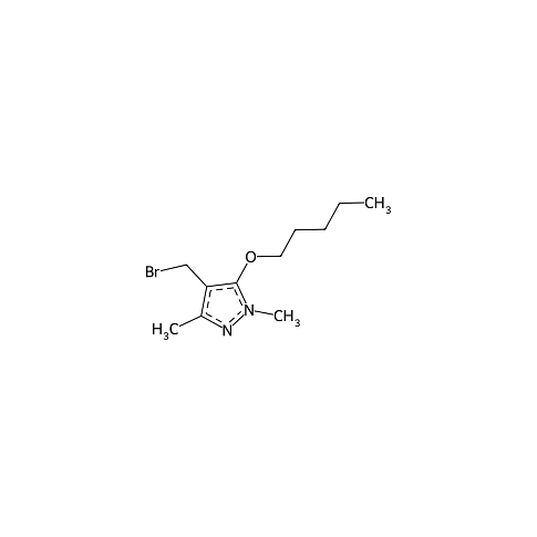 CCCCCOc1c(CBr)c(C)nn1C